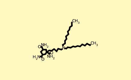 CCCCCCCCCCCCN(CCCCCCCCCCCC)CCCCCCC1(C(N)=O)CC(C(N)=O)CC(C(N)=O)C1